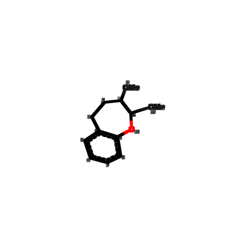 COC1[C]Cc2ccccc2OC1OC